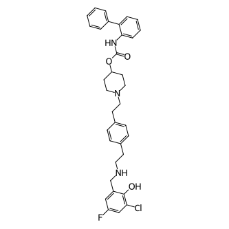 O=C(Nc1ccccc1-c1ccccc1)OC1CCN(CCc2ccc(CCNCc3cc(F)cc(Cl)c3O)cc2)CC1